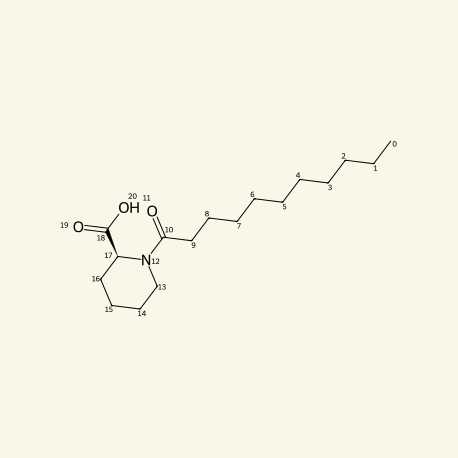 CCCCCCCCCCC(=O)N1CCCC[C@H]1C(=O)O